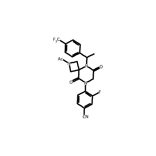 CC(=O)N1CC2(C1)C(=O)N(c1ccc(C#N)cc1F)CC(=O)N2C(C)c1ccc(C(F)(F)F)cc1